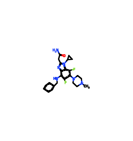 CN1CCN(c2c(F)c(NCc3ccccc3)c3nc(CC(N)=O)n(C4CC4)c3c2F)CC1